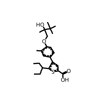 CCC(CC)c1sc(C(=O)O)cc1-c1ccc(OCC(C)(O)C(C)(C)C)c(C)c1